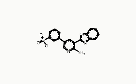 Nc1ncc(-c2cccc(S(=O)(=O)Cl)c2)cc1-c1nc2ccccc2o1